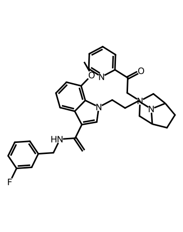 C=C(NCc1cccc(F)c1)c1cn(CCCN2C3CCC2CN(CC(=O)c2ccccn2)C3)c2c(OC)cccc12